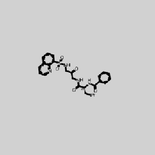 CC(C)C[C@H](NC(=O)c1ccccc1)C(=O)NCC(=O)CNS(=O)(=O)c1cccc2cccnc12